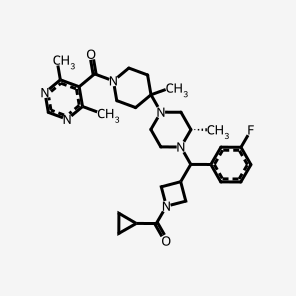 Cc1ncnc(C)c1C(=O)N1CCC(C)(N2CCN(C(c3cccc(F)c3)C3CN(C(=O)C4CC4)C3)[C@@H](C)C2)CC1